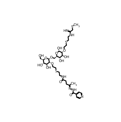 CSCC(=N)NCCSCCO[C@@H]1[C@@H](O)[C@H](O)[C@@H](CO[C@H]2O[C@H](CO)[C@@H](O)[C@H](O)[C@H]2OCCSCCNC(=O)CC/C(C)=N/NC(=O)c2ccncc2)O[C@@H]1O